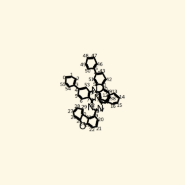 c1ccc(-c2ccc(-c3nc(-c4ccccc4)nc(-c4cccc5oc6ccccc6c45)n3)c(-n3c4ccccc4c4ccc(-c5ccccc5)cc43)c2)cc1